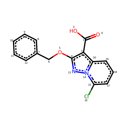 O=C(O)c1c(OCc2ccccc2)nn2c(Cl)cccc12